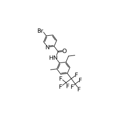 CCc1cc(C(F)(C(F)(F)F)C(F)(F)F)cc(C)c1NC(=O)c1ccc(Br)cn1